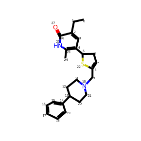 CCc1cc(C2CC=C(CN3CCC(c4ccccc4)CC3)S2)c(C)[nH]c1=O